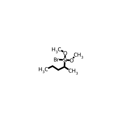 CCCC(C)[Si](Br)(OC)OC